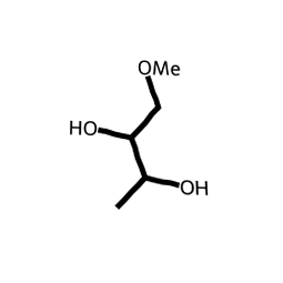 COCC(O)C(C)O